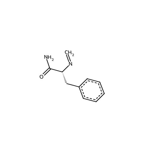 C=N[C@H](Cc1ccccc1)C(N)=O